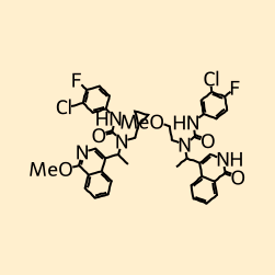 COCCN(C(=O)Nc1ccc(F)c(Cl)c1)C(C)c1c[nH]c(=O)c2ccccc12.COc1ncc(C(C)N(CC2CC2)C(=O)Nc2ccc(F)c(Cl)c2)c2ccccc12